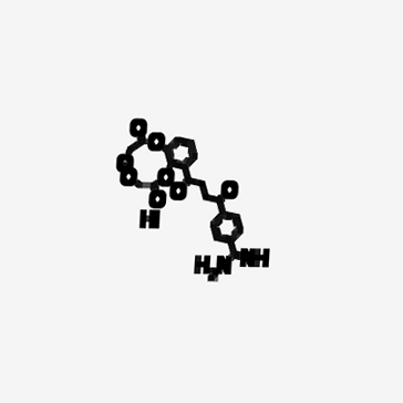 I.N=C(N)c1ccc(C(=O)CCC(=O)c2cccc3c2OC(=O)COOCC(=O)O3)cc1